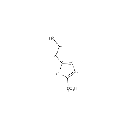 O=C(O)c1ccc(CCS)s1